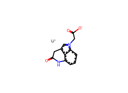 O=C([O-])Cn1cc2c3c(cccc31)NC(=O)C2.[Li+]